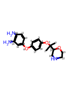 CC(C)(Oc1ccc(Oc2ccc(N)c(N)c2)cc1)C1CNCCO1